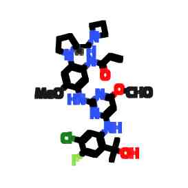 C=CC(=O)Nc1cc(Nc2nc(Nc3cc(Cl)c(F)cc3C(C)(C)O)cc(OC=O)n2)c(OC)cc1N1CCC[C@@H]1CN1CCC1